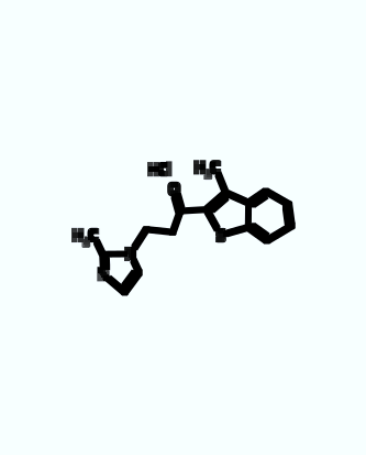 Cc1c(C(=O)CCn2ccnc2C)sc2ccccc12.Cl